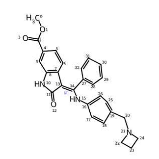 COC(=O)c1ccc2c(c1)NC(=O)/C2=C(\Nc1ccc(CN2CCC2)cc1)c1ccccc1